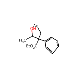 CCOC(=O)C(CC(C)=O)(c1ccccc1)C(C)O